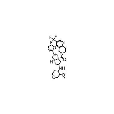 COC1COCCC1N[C@@H]1C[C@H]2CN(C3=NCCO3)C[C@@]2(C(=O)N2CCc3ncc(C(F)(F)F)cc3C2)C1